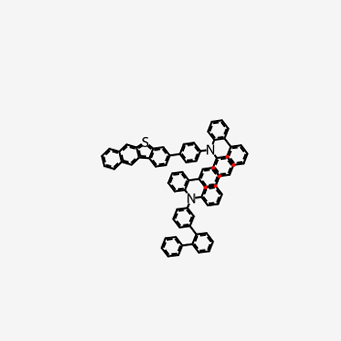 c1ccc(-c2ccccc2-c2cccc(N(c3cccc(-c4cccc(N(c5ccc(-c6ccc7c(c6)sc6cc8ccccc8cc67)cc5)c5ccccc5-c5ccccc5)c4)c3)c3ccccc3-c3ccccc3)c2)cc1